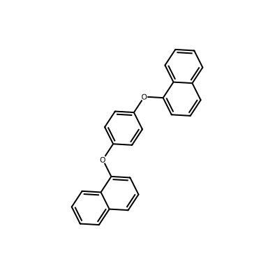 c1ccc2c(Oc3ccc(Oc4cccc5ccccc45)cc3)cccc2c1